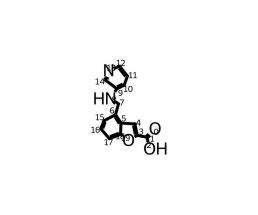 O=C(O)c1cc2c(CNc3cccnc3)cccc2o1